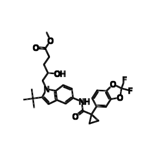 COC(=O)CCC(O)Cn1c(C(C)(C)C)cc2cc(NC(=O)C3(c4ccc5c(c4)OC(F)(F)O5)CC3)ccc21